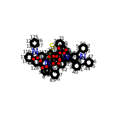 c1ccc(-c2ccccc2N(c2ccc3c(c2)C2(c4ccccc4Sc4ccccc42)c2cccc4cc(-c5cccc(-c6ccccc6-n6c7ccccc7c7cc(N(c8ccc9c(c8)C8(c%10ccccc%10Sc%10ccccc%108)c8cccc%10cccc-9c8%10)c8ccccc8-c8ccccc8)ccc76)c5)cc-3c24)c2ccc3c(c2)c2ccccc2n3-c2ccccc2)cc1